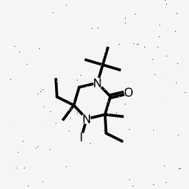 CCC1(C)CN(C(C)(C)C)C(=O)C(C)(CC)N1I